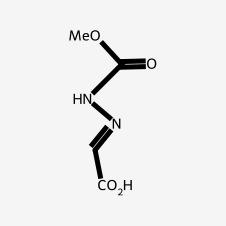 COC(=O)NN=CC(=O)O